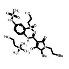 CC(C)(C)CCN1C(=O)C(C2=NP(=O)(CCO)c3cc(NS(C)(=O)=O)ccc3N2)=C([O-])C1C(C)(C)C.C[N+](C)(C)CCO